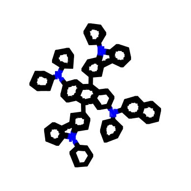 C1=CC(n2c3ccccc3c3cc(-c4c5c(c(-c6ccc7c(c6)c6ccccc6n7-c6ccccc6)c6cc(N(c7ccccc7)c7ccccc7)ccc46)=CCC(N(c4ccccc4)c4ccc6ccccc6c4)C=5)ccc32)=CCC1